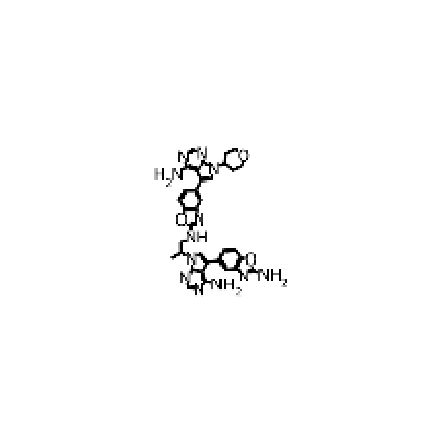 CC(CNc1nc2cc(-c3cn(C4CCOCC4)c4ncnc(N)c34)ccc2o1)n1cc(-c2ccc3oc(N)nc3c2)c2c(N)ncnc21